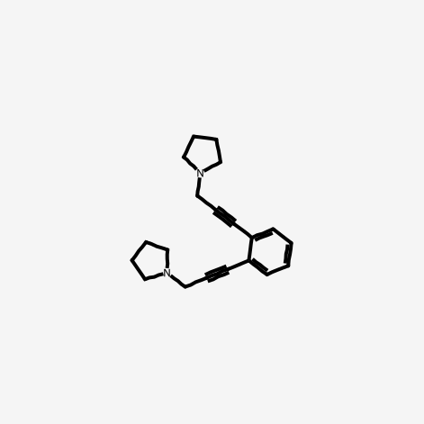 C(#Cc1ccccc1C#CCN1CCCC1)CN1CCCC1